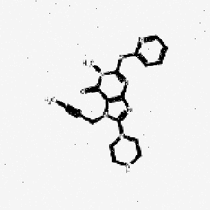 CC#CCn1c(N2CCNCC2)nc2nc(Sc3ccccn3)n(C)c(=O)c21